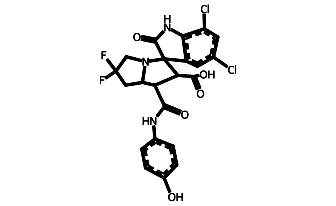 O=C(Nc1ccc(O)cc1)C1C2CC(F)(F)CN2C2(C(=O)Nc3c(Cl)cc(Cl)cc32)C1C(=O)O